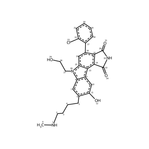 CNCCCCc1cc2c(cc1O)c1c3c(c(-c4ccccc4Cl)cc1n2CCO)C(=O)NC3=O